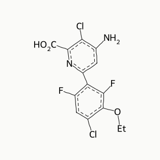 CCOc1c(Cl)cc(F)c(-c2cc(N)c(Cl)c(C(=O)O)n2)c1F